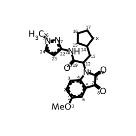 COc1ccc2c(c1)C(=O)C(=O)N2C(CC1CCCC1)C(=O)Nc1ccn(C)n1